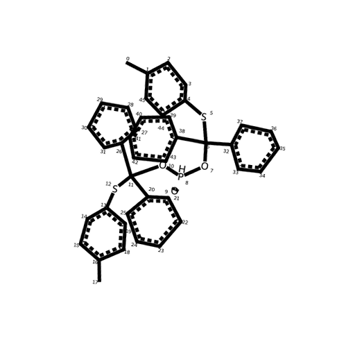 Cc1ccc(SC(O[PH](=O)OC(Sc2ccc(C)cc2)(c2ccccc2)c2ccccc2)(c2ccccc2)c2ccccc2)cc1